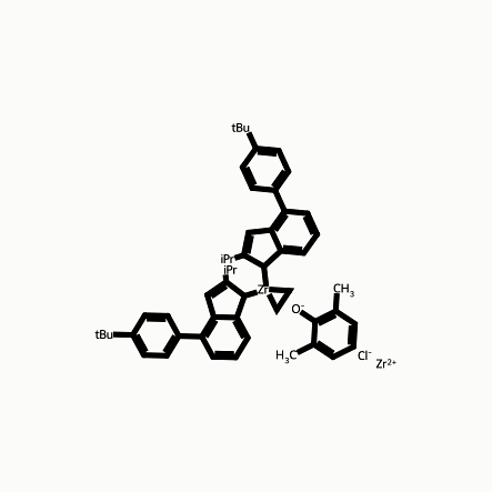 CC(C)C1=Cc2c(-c3ccc(C(C)(C)C)cc3)cccc2[CH]1[Zr]1([CH]2C(C(C)C)=Cc3c(-c4ccc(C(C)(C)C)cc4)cccc32)[CH2][CH2]1.Cc1cccc(C)c1[O-].[Cl-].[Zr+2]